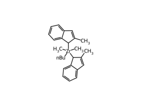 CCC[CH2][Zr]([CH3])([CH3])([CH]1C(C)=Cc2ccccc21)[CH]1C(C)=Cc2ccccc21